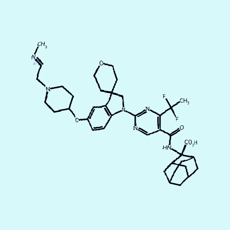 C/N=C/CN1CCC(Oc2ccc3c(c2)C2(CCOCC2)CN3c2ncc(C(=O)NC3(C(=O)O)C4CC5CC(C4)CC3C5)c(C(C)(F)F)n2)CC1